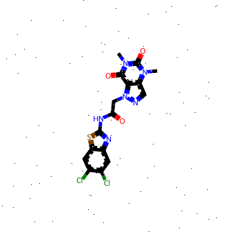 Cn1c(=O)c2c(cnn2CC(=O)Nc2nc3cc(Cl)c(Cl)cc3s2)n(C)c1=O